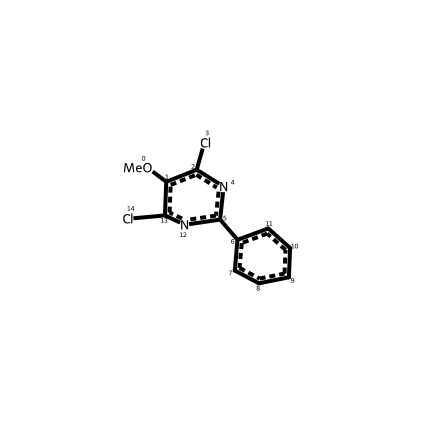 COc1c(Cl)nc(-c2ccccc2)nc1Cl